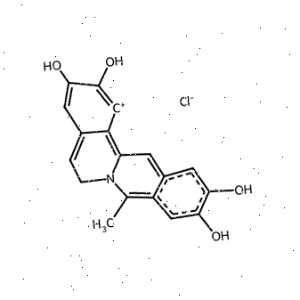 CC1=c2cc(O)c(O)cc2=CC2=C3[C+]=C(O)C(O)=CC3=CCN21.[Cl-]